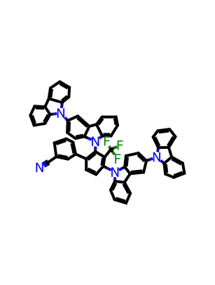 N#Cc1cccc(-c2ccc(-n3c4ccccc4c4cc(-n5c6ccccc6c6ccccc65)ccc43)c(C(F)(F)F)c2-n2c3ccccc3c3cc(-n4c5ccccc5c5ccccc54)ccc32)c1